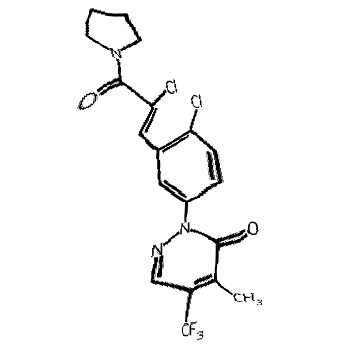 Cc1c(C(F)(F)F)cnn(-c2ccc(Cl)c(/C=C(\Cl)C(=O)N3CCCC3)c2)c1=O